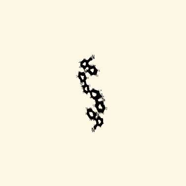 N#Cc1cccc2c1c1c(n2-c2ccc3sc4ccc(-c5ccc6sc7ccc(-n8c9ccccc9c9c(C#N)cccc98)cc7c6c5)cc4c3c2)C=CCC1